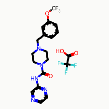 O=C(Nc1cnccn1)N1CCN(Cc2cccc(OC(F)(F)F)c2)CC1.O=C(O)C(F)(F)F